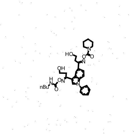 CCCCNC(=O)O/N=C(\CCO)c1cn(-c2ccccc2)c2ccc(/C(CCO)=N/OC(=O)N3CCCCC3)cc12